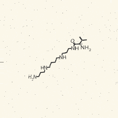 CC(C)[C@H](N)C(=O)NCCCNCCCCNCCCN